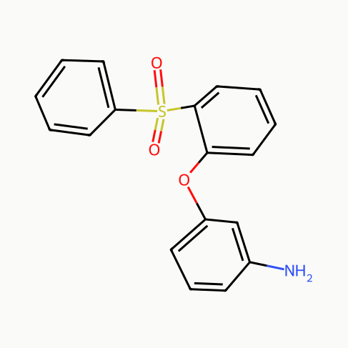 Nc1cccc(Oc2ccccc2S(=O)(=O)c2ccccc2)c1